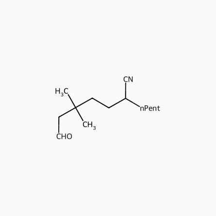 CCCCCC(C#N)CCC(C)(C)CC=O